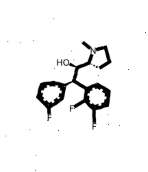 CN1CCC[C@@H]1[C@H](O)[C@H](c1cccc(F)c1)c1cccc(F)c1F